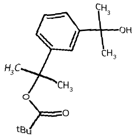 CC(C)(C)C(=O)OC(C)(C)c1cccc(C(C)(C)O)c1